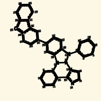 c1ccc(N2B3N(c4ccccc4-c4nccn43)c3cc(-c4ccc5oc6ccccc6c5c4)ccc32)cc1